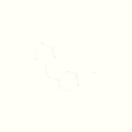 FC(F)(F)COc1cccc(Nc2nc(Cl)nc(Cl)n2)c1